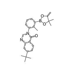 C=C1OB(c2cccc(-n3cnc4cc(C(C)(C)C)ccc4c3=O)c2C)OC1(C)C